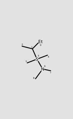 CCC(C)S(C)(C)N(C)C